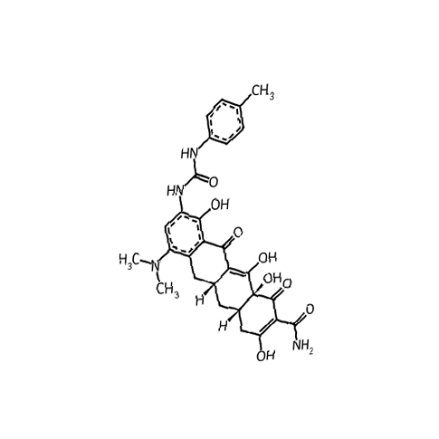 Cc1ccc(NC(=O)Nc2cc(N(C)C)c3c(c2O)C(=O)C2=C(O)[C@]4(O)C(=O)C(C(N)=O)=C(O)C[C@@H]4C[C@@H]2C3)cc1